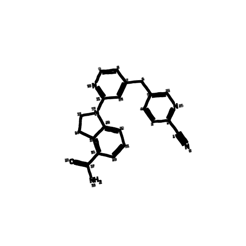 N#Cc1ccc(Cc2ccnc(N3CCc4c(C(N)=O)cccc43)c2)cn1